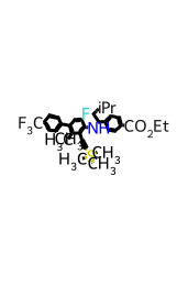 CCOC(=O)c1ccc(C(CC(C)C)Nc2c(F)cc(-c3ccc(C(F)(F)F)cc3C)c(C)c2C#CS(C)(C)C)cc1